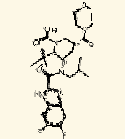 CC(C)CN(C(=O)c1nc2cc(F)c(F)cc2[nH]1)[C@H]1C[C@@H](C(=O)N2CCOCC2)CN(C(=O)O)C1C(C)(C)C